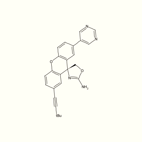 CC(C)(C)C#Cc1ccc2c(c1)[C@]1(COC(N)=N1)c1cc(-c3cncnc3)ccc1O2